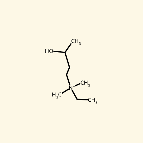 CC[N+](C)(C)CCC(C)O